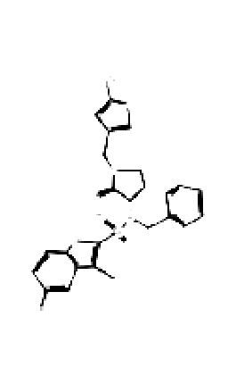 Cc1c(S(=O)(=O)N(Cc2ccccc2)[C@H]2CCN(Cc3csc(C#N)c3)C2=O)sc2ccc(Cl)cc12